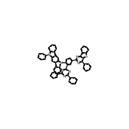 c1ccc(-c2nc(-c3ccccc3)nc(-c3cc(-c4nc(-c5ccccc5)c5sc6ccccc6c5n4)ccc3-n3c4ccccc4c4cc5c(cc43)c3ccccc3n5-c3ccccc3)n2)cc1